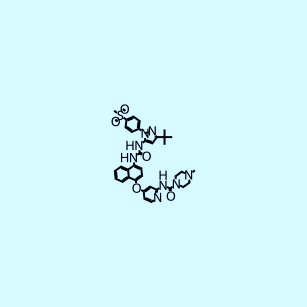 CN1CCN(C(=O)Nc2cc(Oc3ccc(NC(=O)Nc4cc(C(C)(C)C)nn4-c4ccc(S(C)(=O)=O)cc4)c4ccccc34)ccn2)CC1